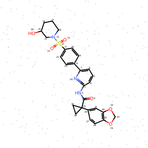 O=C(Nc1cccc(-c2ccc(S(=O)(=O)N3CCCC(O)C3)cc2)n1)C1(c2ccc3c(c2)OCO3)CC1